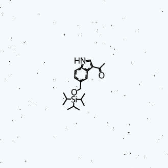 CC(=O)c1c[nH]c2ccc(CO[Si](C(C)C)(C(C)C)C(C)C)cc12